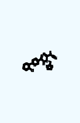 CN(C#N)C(=O)[C@H](Cc1nccs1)NC(=O)c1ccc(-c2ccccc2Cl)nc1